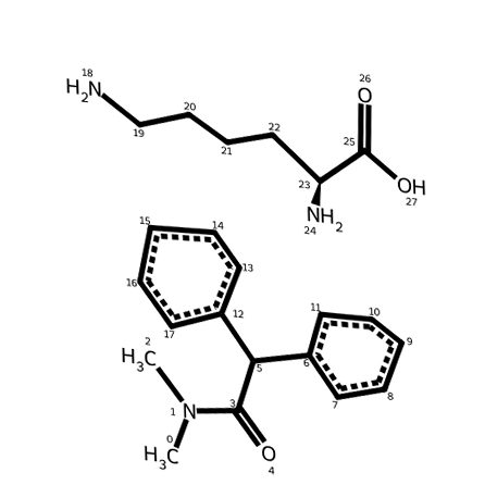 CN(C)C(=O)C(c1ccccc1)c1ccccc1.NCCCC[C@H](N)C(=O)O